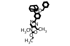 CCOC(=O)N(C)c1cnc(-c2ccc(OCc3ccccc3)c(C34CC5CC(CC(C5)C3)C4)c2)nc1CC